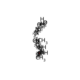 CN(C(=O)CCC1CCN(c2ccc(C3CCC(=O)NC3=O)cn2)C1)c1ccc2cc(-c3n[nH]c4c3C3C[C@@](C)(C4)C3(F)F)[nH]c2c1